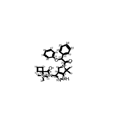 CC1(C)c2[nH]nc(NC(=O)C3([Si](C)(C)C)CCC3)c2CN1C(=O)C(Oc1ccccc1)c1ccccc1